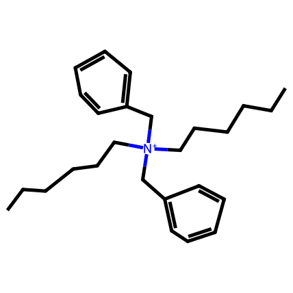 CCCCCC[N+](CCCCCC)(Cc1ccccc1)Cc1ccccc1